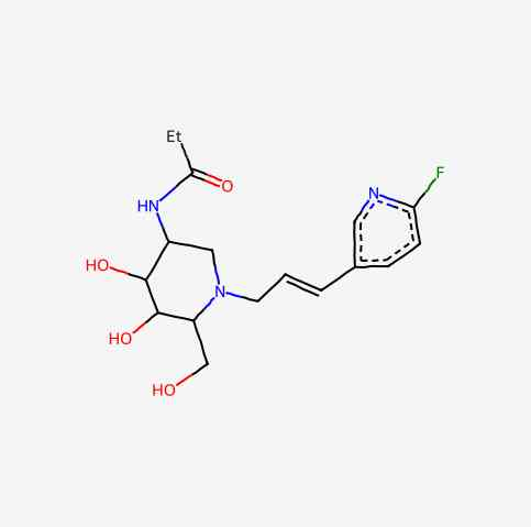 CCC(=O)NC1CN(C/C=C/c2ccc(F)nc2)C(CO)C(O)C1O